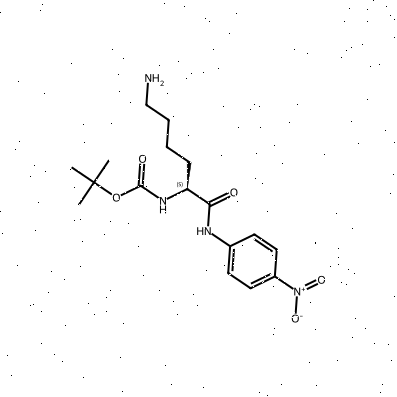 CC(C)(C)OC(=O)N[C@@H](CCCCN)C(=O)Nc1ccc([N+](=O)[O-])cc1